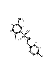 Cc1ccc(CNS(=O)(=O)c2cc([N+](=O)[O-])ccc2C)nc1